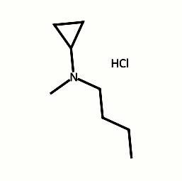 CCCCN(C)C1CC1.Cl